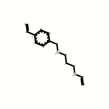 C=COCCCOCc1ccc(C=C)cc1